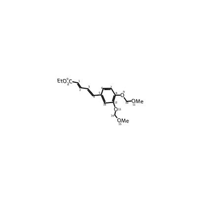 CCOC(=O)C=CC=Cc1ccc(OCOC)c(OCOC)c1